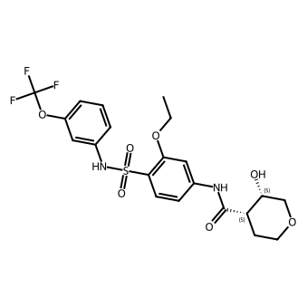 CCOc1cc(NC(=O)[C@H]2CCOC[C@H]2O)ccc1S(=O)(=O)Nc1cccc(OC(F)(F)F)c1